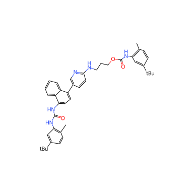 Cc1ccc(C(C)(C)C)cc1NC(=O)Nc1ccc(-c2ccc(NCCCOC(=O)Nc3cc(C(C)(C)C)ccc3C)nc2)c2ccccc12